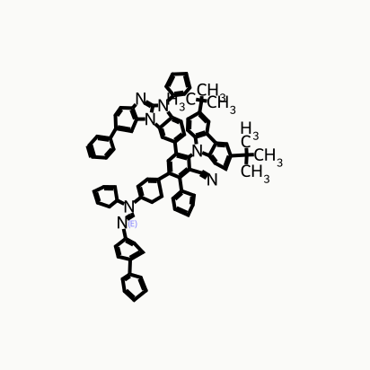 CC(C)(C)c1ccc2c(c1)c1cc(C(C)(C)C)ccc1n2-c1c(-c2ccc3c(c2)n2c4cc(-c5cc#ccc5)ccc4nc2n3-c2ccccc2)cc(C2=CC=C(N(/C=N/c3ccc(-c4ccccc4)cc3)C3C=CC=CC3)CC2)c(-c2ccccc2)c1C#N